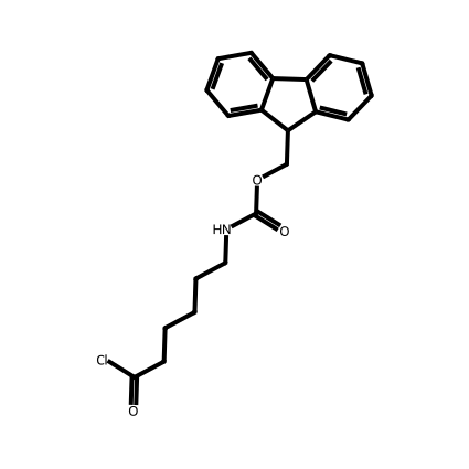 O=C(Cl)CCCCCNC(=O)OCC1c2ccccc2-c2ccccc21